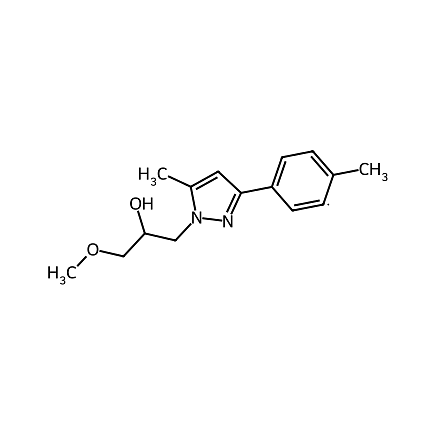 COCC(O)Cn1nc(-c2c[c]c(C)cc2)cc1C